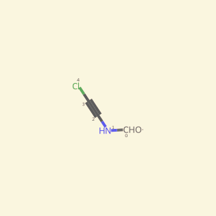 O=[C]NC#CCl